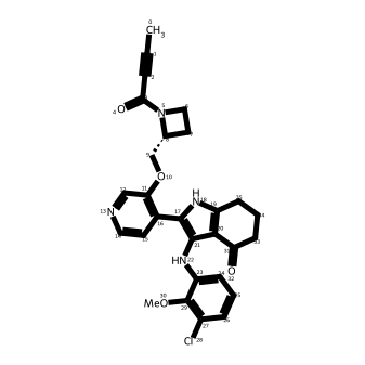 CC#CC(=O)N1CC[C@@H]1COc1cnccc1-c1[nH]c2c(c1Nc1cccc(Cl)c1OC)C(=O)CCC2